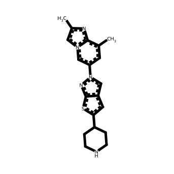 Cc1cn2cc(-n3cc4cc(C5CCNCC5)sc4n3)cc(C)c2n1